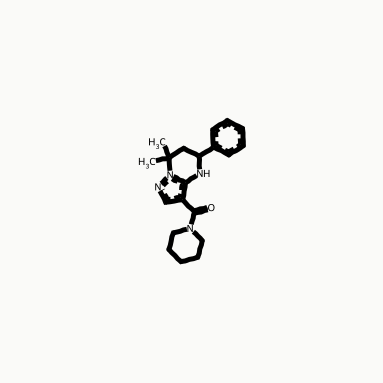 CC1(C)CC(c2ccccc2)Nc2c(C(=O)N3CCCCC3)cnn21